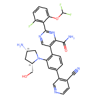 N#Cc1ccncc1-c1ccc(-c2cnc(-c3c(F)cccc3OC(F)F)nc2C(N)=O)c(N2C[C@@H](N)C[C@H]2CO)c1